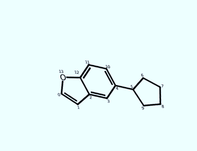 c1cc2cc(C3CCCC3)ccc2o1